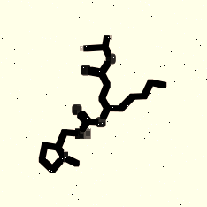 [CH2]C([CH2])OC(=O)CCC(CCCCC)OC(=O)NCC1CCCN1C